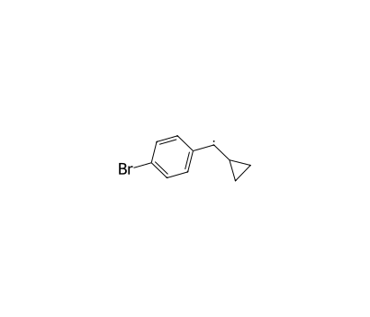 Brc1ccc([CH]C2CC2)cc1